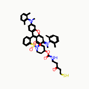 Cc1cccc(C)c1N(C)c1ccc2c(-c3ccccc3S(=O)(=O)N3CCC(OC(=O)NCCC(=O)CCS)CC3)c3cc/c(=[N+](\C)c4c(C)cccc4C)cc-3oc2c1